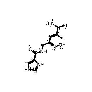 CCC(C(C)=CC(CNC(=O)c1c[nH]cn1)=NO)[N+](=O)[O-]